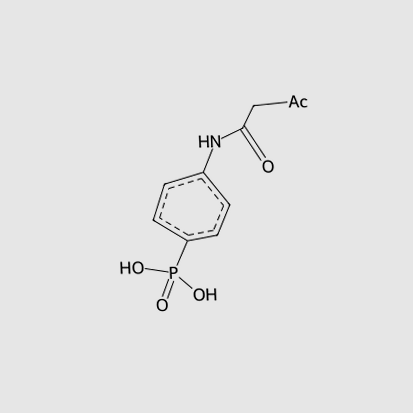 CC(=O)CC(=O)Nc1ccc(P(=O)(O)O)cc1